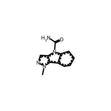 Cn1ncc2c1c1ccccc1n2C(N)=O